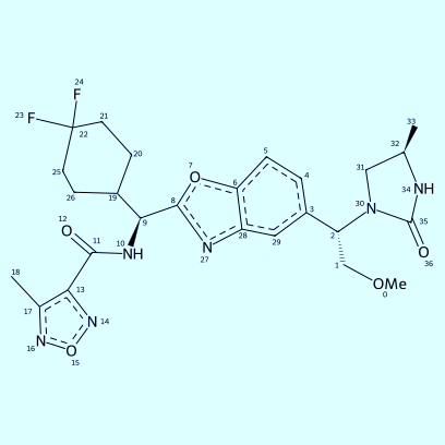 COC[C@H](c1ccc2oc([C@@H](NC(=O)c3nonc3C)C3CCC(F)(F)CC3)nc2c1)N1C[C@@H](C)NC1=O